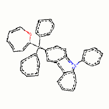 C1=CC=C([Si](c2ccccc2)(c2ccccc2)c2ccc3c(c2)c2ccccc2n3-c2ccccc2)OC=C1